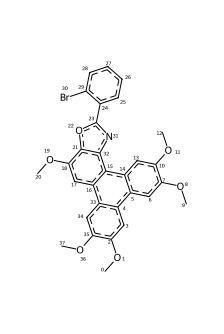 COc1cc2c3cc(OC)c(OC)cc3c3c(cc(OC)c4oc(-c5ccccc5Br)nc43)c2cc1OC